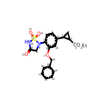 CCOC(=O)C1CC1c1ccc(N2CC(=O)NS2(=O)=O)c(OCc2ccccc2)c1